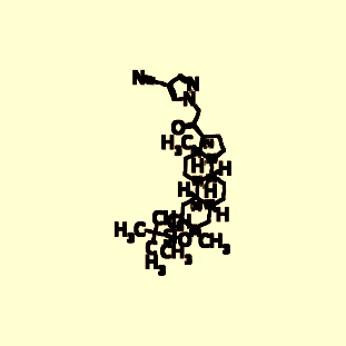 CC(C)(C)[Si](C)(C)O[C@]1(C)CC[C@H]2[C@H](CC[C@@H]3[C@@H]2CC[C@]2(C)[C@@H](C(=O)Cn4cc(C#N)cn4)CC[C@@H]32)C1